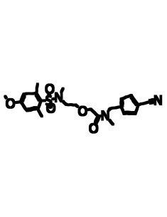 COc1cc(C)c(S(=O)(=O)N(C)CCOCC(=O)N(C)Cc2ccc(C#N)cc2)c(C)c1